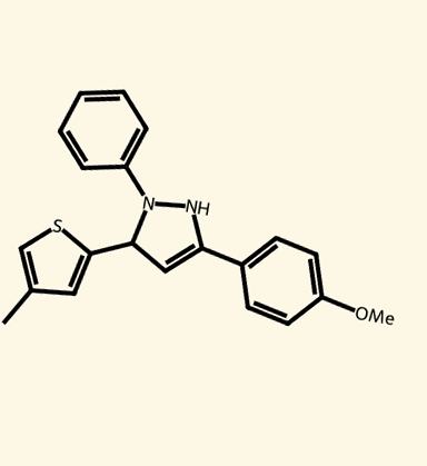 COc1ccc(C2=CC(c3cc(C)cs3)N(c3ccccc3)N2)cc1